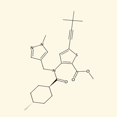 COC(=O)c1sc(C#CC(C)(C)C)cc1N(Cc1cnn(C)c1)C(=O)[C@H]1CC[C@H](C)CC1